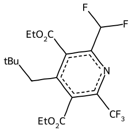 CCOC(=O)c1c(C(F)F)nc(C(F)(F)F)c(C(=O)OCC)c1CC(C)(C)C